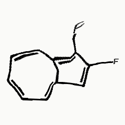 Fc1cc2cccccc-2c1F